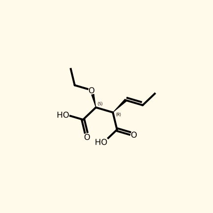 CC=C[C@@H](C(=O)O)[C@H](OCC)C(=O)O